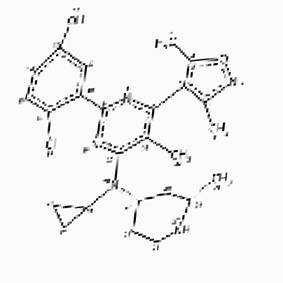 Cc1noc(C)c1-c1nc(-c2cc(O)ccc2Cl)nc(N(C2CC2)[C@H]2CCN[C@@H](C)C2)c1C